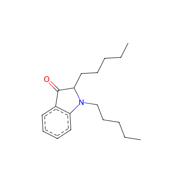 CCCCCC1C(=O)c2ccccc2N1CCCCC